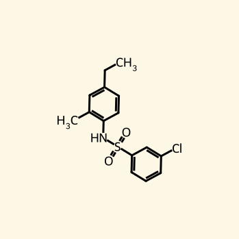 CCc1ccc(NS(=O)(=O)c2cccc(Cl)c2)c(C)c1